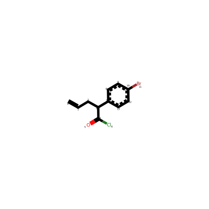 C=CCC(C(=O)Cl)c1ccc(Br)cc1